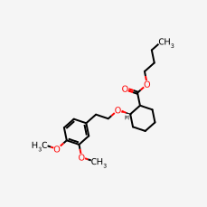 CCCCOC(=O)C1CCCC[C@H]1OCCc1ccc(OC)c(OC)c1